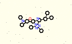 c1ccc(-c2nc(-c3ccccc3)nc(-c3cc(-c4ccc(-c5ccccc5)c(-c5ccccc5)c4)cnc3-c3ccc4c(c3)oc3cc5c(cc34)c3ccccc3n5-c3ccccc3)n2)cc1